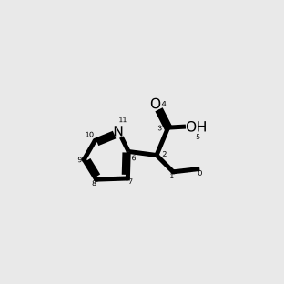 CCC(C(=O)O)c1ccccn1